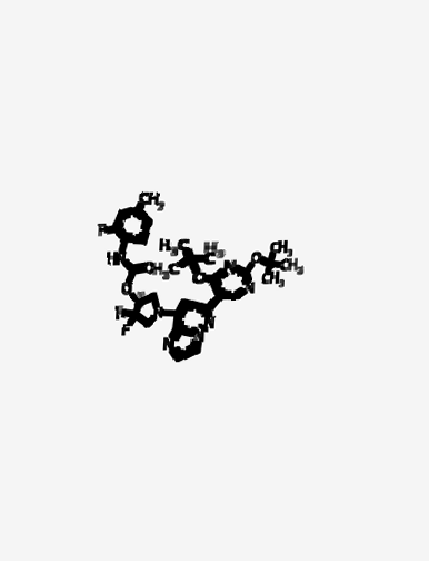 Cc1ccc(NC(=O)O[C@H]2CN(c3cc(-c4cnc(OC(C)(C)C)nc4OC(C)(C)C)nn4ccnc34)CC2(F)F)c(F)c1